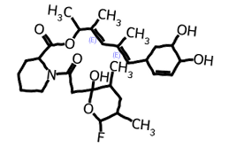 CC(=C\C1C=CC(O)C(O)C1)/C=C(\C)C(C)OC(=O)C1CCCCN1C(=O)CC1(O)OC(F)C(C)CC1C